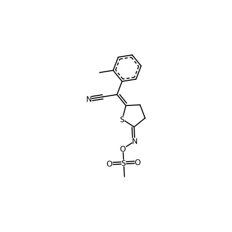 Cc1ccccc1/C(C#N)=C1\CC/C(=N/OS(C)(=O)=O)S1